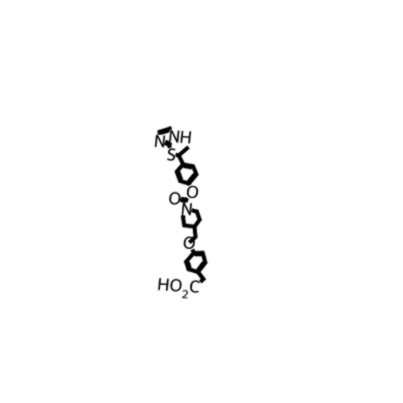 CC(Sc1ncc[nH]1)c1ccc(OC(=O)N2CCC(COc3ccc(CC(=O)O)cc3)CC2)cc1